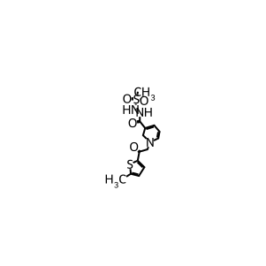 Cc1ccc(C(=O)CN2C=CC=C(C(=O)NNS(C)(=O)=O)C2)s1